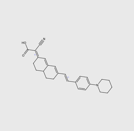 N#C/C(C(=O)O)=C1\C=C2C=C(/C=C/c3ccc(N4CCCCC4)cc3)CCC2CC1